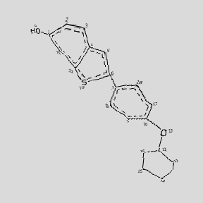 Oc1ccc2cc(-c3ccc(OC4CCCC4)cc3)sc2c1